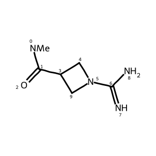 CNC(=O)C1CN(C(=N)N)C1